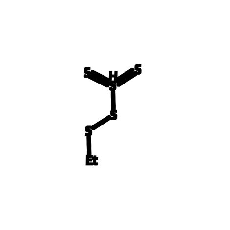 CCSS[SH](=S)=S